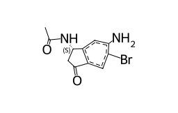 CC(=O)N[C@H]1CC(=O)c2cc(Br)c(N)cc21